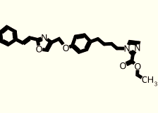 CCOC(=O)c1nccn1CCCCc1ccc(OCc2coc(/C=C/c3ccccc3)n2)cc1